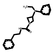 CCN(c1ccccc1)C1CN(C(=O)NCCc2ccccc2)C1